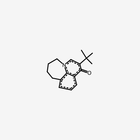 CC(C)(C)c1cn2c3c(cccc3c1=O)CCCC2